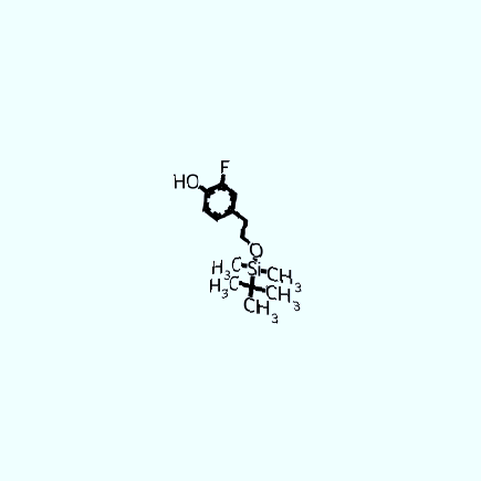 CC(C)(C)[Si](C)(C)OCCc1ccc(O)c(F)c1